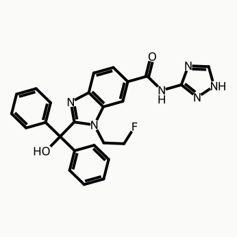 O=C(Nc1nc[nH]n1)c1ccc2nc(C(O)(c3ccccc3)c3ccccc3)n(CCF)c2c1